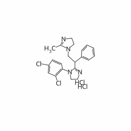 CC1=NCCN1CC(C1=NCCN1c1ccc(Cl)cc1Cl)c1ccccc1.Cl.Cl